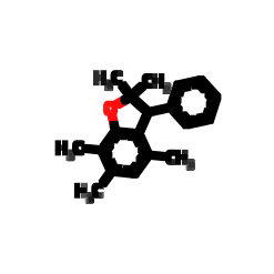 Cc1cc(C)c2c(c1C)OC(C)(C)C2c1ccccc1